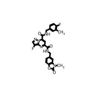 Cc1cc(CNC(=O)c2cc(C(=O)NCc3ccc4oc(=O)n(C)c4c3)nc3c(F)cnn23)ccc1F